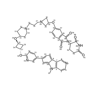 Cn1c2ccncc2c2ccc(-c3ccc(O[C@H]4C[C@H](OC5CCN(CCCN6CC(Oc7ccc8c(c7)C(=O)N(C7CCC(=O)NC7=O)C8=O)C6)CC5)C4)nc3)cc21